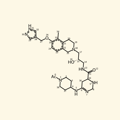 CC(=O)N1CCC(NC2=NCNC(C(=O)NC[C@H](O)CN3CCc4c(ccc(OCc5cn[nH]c5)c4C)C3)C2)CC1